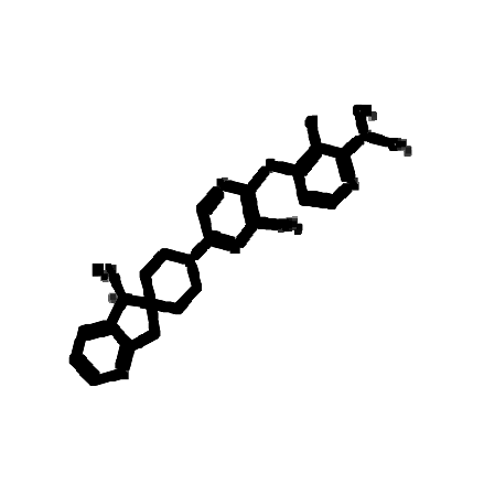 CN(C)c1nccc(Sc2ncc(N3CCC4(CC3)Cc3ncccc3[C@H]4N)nc2N)c1Cl